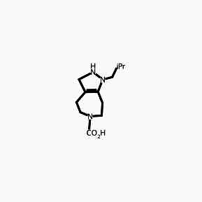 CC(C)CN1NCC2=C1CCN(C(=O)O)CC2